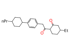 CCCC1CCC(c2ccc(CC(=O)C3CCC(CC)CC3=O)cc2)CC1